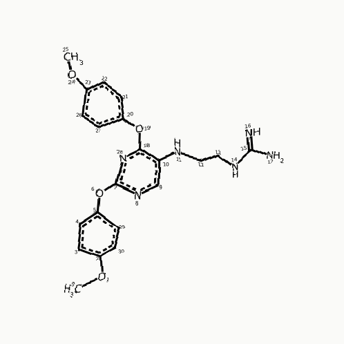 COc1ccc(Oc2ncc(NCCNC(=N)N)c(Oc3ccc(OC)cc3)n2)cc1